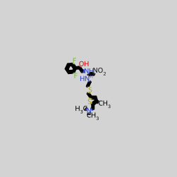 Cc1cc(CSCCN/C(=C/[N+](=O)[O-])NCC(O)c2c(F)cccc2F)sc1CN(C)C